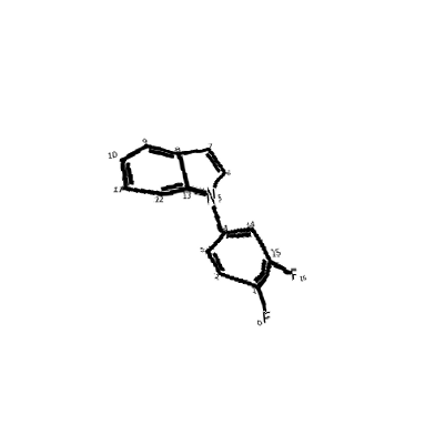 Fc1ccc(-n2ccc3ccccc32)cc1F